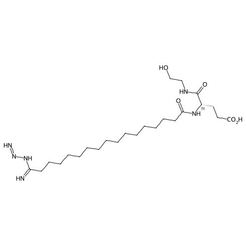 N=NNC(=N)CCCCCCCCCCCCCCCC(=O)N[C@@H](CCC(=O)O)C(=O)NCCO